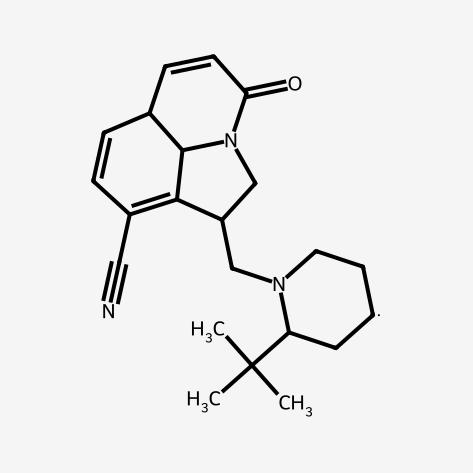 CC(C)(C)C1C[CH]CCN1CC1CN2C(=O)C=CC3C=CC(C#N)=C1C32